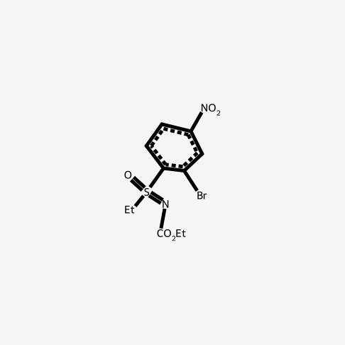 CCOC(=O)N=S(=O)(CC)c1ccc([N+](=O)[O-])cc1Br